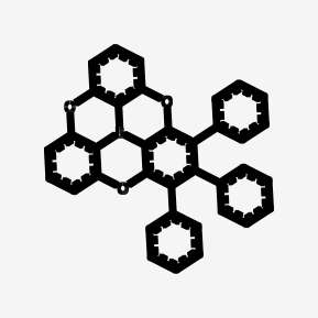 c1ccc(-c2c3c4c(c(-c5ccccc5)c2-c2ccccc2)Oc2cccc5c2B4c2c(cccc2O3)O5)cc1